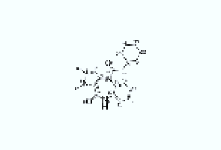 Cc1cc2c(n1C)C(=O)Nc1ccccc1N2C(=O)CN1CCCCC1